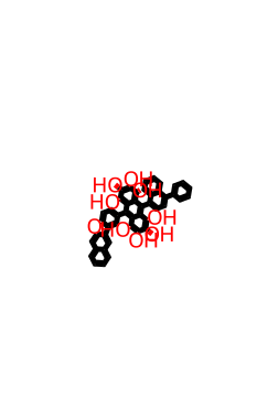 Oc1c(O)c(O)c2c(-c3ccc(-c4ccccc4)c4ccccc34)c3c(O)c(O)c(O)c(O)c3c(-c3ccc4oc5cc6ccccc6cc5c4c3)c2c1O